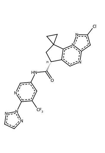 O=C(Nc1cnc(-n2nccn2)c(C(F)(F)F)c1)[C@@H]1CC2(CC2)c2c1cnc1cc(Cl)nn21